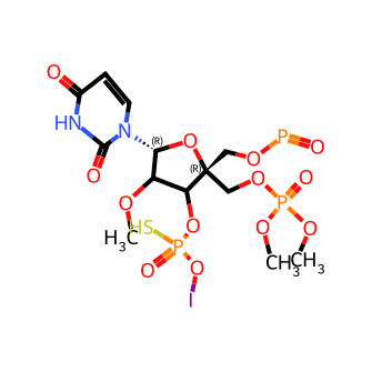 COC1C(OP(=O)(S)OI)[C@@](COP=O)(COP(=O)(OC)OC)O[C@H]1n1ccc(=O)[nH]c1=O